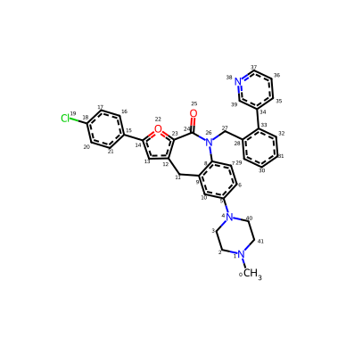 CN1CCN(c2ccc3c(c2)Cc2cc(-c4ccc(Cl)cc4)oc2C(=O)N3Cc2ccccc2-c2cccnc2)CC1